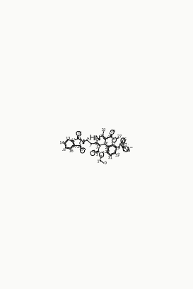 CCOC(=O)C1=C(CCN2C(=O)c3ccccc3C2=O)NC(C)=C(C(=O)OC)C1c1cccc([N+](=O)[O-])c1